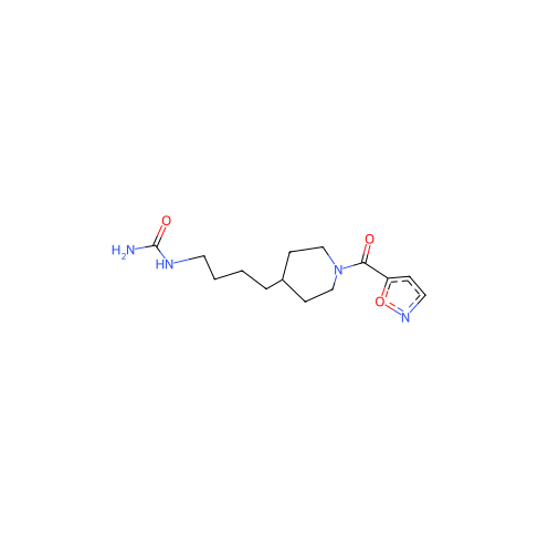 NC(=O)NCCCCC1CCN(C(=O)c2ccno2)CC1